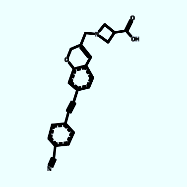 N#Cc1ccc(C#Cc2ccc3c(c2)OCC(CN2CC(C(=O)O)C2)=C3)cc1